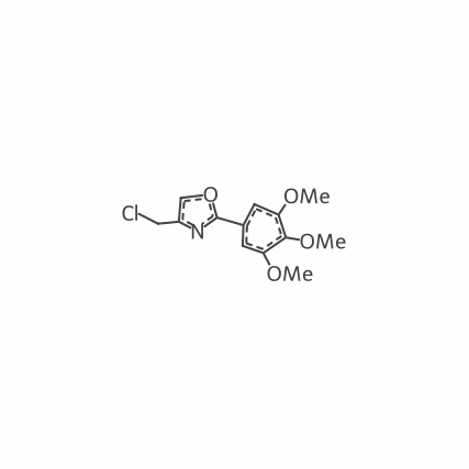 COc1cc(-c2nc(CCl)co2)cc(OC)c1OC